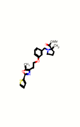 COC(=O)C1(C)CCCN1Cc1cccc(OCCc2nc(-c3cccs3)oc2C)c1